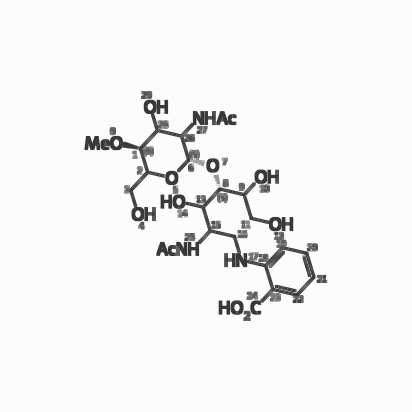 CO[C@@H]1C(CO)O[C@@H](O[C@H](C(O)CO)C(O)C(CNc2ccccc2C(=O)O)NC(C)=O)C(NC(C)=O)C1O